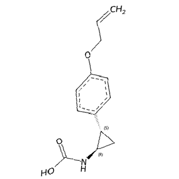 C=CCOc1ccc([C@@H]2C[C@H]2NC(=O)O)cc1